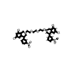 O=[N+]([O-])c1cccc(C2CN(CCOCCOCCON3Cc4c(Cl)cc(Cl)cc4C(c4cccc([N+](=O)[O-])c4)C3)Cc3c(Cl)cc(Cl)cc32)c1